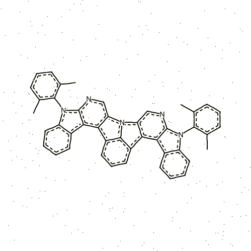 Cc1cccc(C)c1-n1c2ccccc2c2c3c4cccc5c6c7c8ccccc8n(-c8c(C)cccc8C)c7ncc6n(c3cnc21)c45